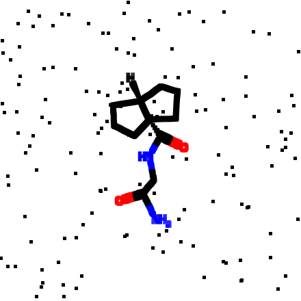 NC(=O)CNC(=O)[C@]12CCC[C@@H]1CCC2